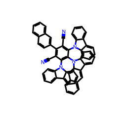 N#Cc1c(-c2ccc3ccccc3c2)c(C#N)c(-n2c3ccccc3c3ccccc32)c(-n2c3ccccc3c3cc4ccccc4cc32)c1-n1c2ccccc2c2ccccc21